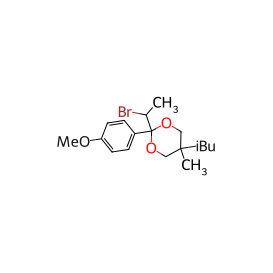 CCC(C)C1(C)COC(c2ccc(OC)cc2)(C(C)Br)OC1